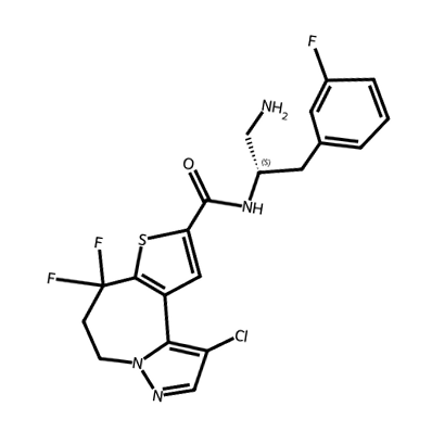 NC[C@H](Cc1cccc(F)c1)NC(=O)c1cc2c(s1)C(F)(F)CCn1ncc(Cl)c1-2